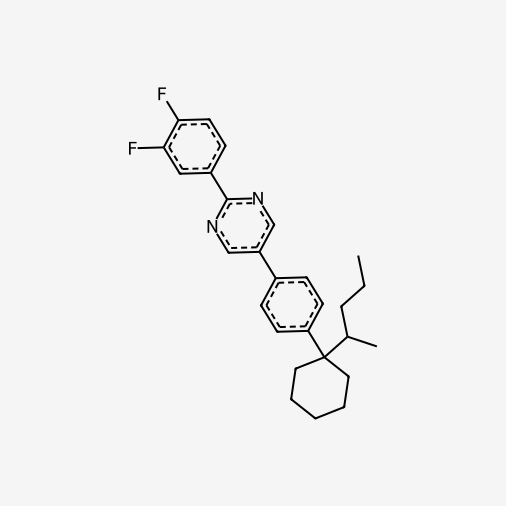 CCCC(C)C1(c2ccc(-c3cnc(-c4ccc(F)c(F)c4)nc3)cc2)CCCCC1